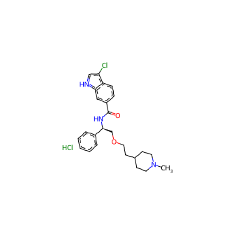 CN1CCC(CCOC[C@H](NC(=O)c2ccc3c(Cl)c[nH]c3c2)c2ccccc2)CC1.Cl